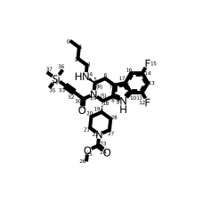 CCCCN[C@H]1Cc2c([nH]c3c(F)cc(F)cc23)[C@H](C2CCN(C(=O)OC)CC2)N1C(=O)C#C[Si](C)(C)C